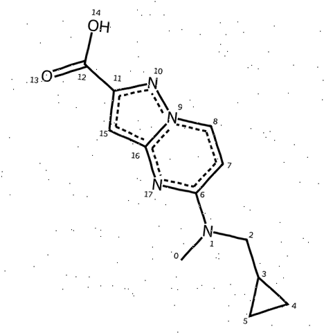 CN(CC1CC1)c1ccn2nc(C(=O)O)cc2n1